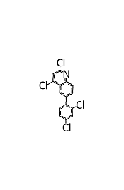 Clc1ccc(-c2ccc3nc(Cl)cc(Cl)c3c2)c(Cl)c1